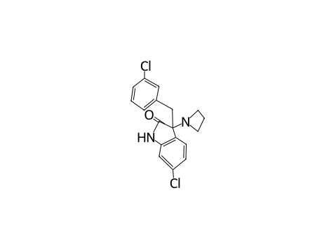 O=C1Nc2cc(Cl)ccc2C1(Cc1cccc(Cl)c1)N1CCC1